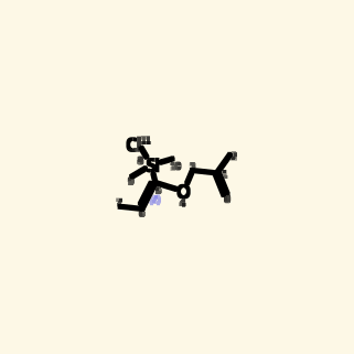 C=C(C)CO/C(=C/C)[Si](C)(C)Cl